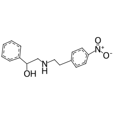 O=[N+]([O-])c1ccc(CCNCC(O)c2ccccc2)cc1